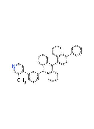 Cc1cnccc1-c1cccc(-c2c3ccccc3c(-c3ccc(-c4ccccc4)c4ccccc34)c3ccccc23)c1